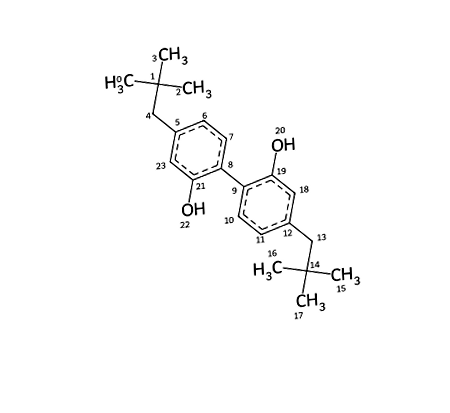 CC(C)(C)Cc1ccc(-c2ccc(CC(C)(C)C)cc2O)c(O)c1